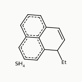 CCC1C=Cc2cccc3cccc1c23.[SiH4]